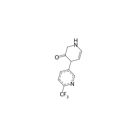 O=C1CNC=CC1c1ccc(C(F)(F)F)nc1